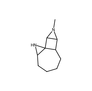 CN1C2C3CCCCC4NC43C21